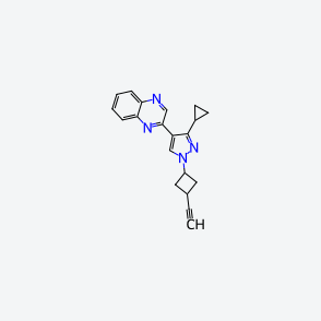 C#CC1CC(n2cc(-c3cnc4ccccc4n3)c(C3CC3)n2)C1